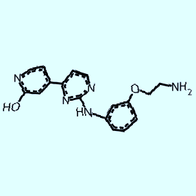 NCCOc1cccc(Nc2nccc(-c3ccnc(O)c3)n2)c1